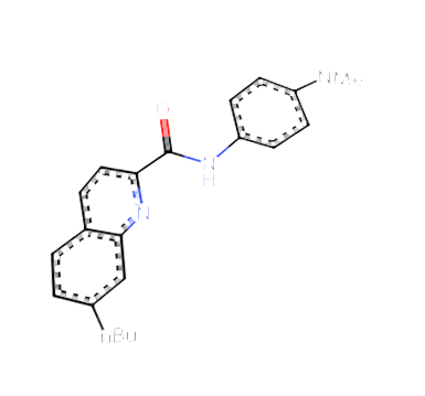 CCCCc1ccc2ccc(C(=O)Nc3ccc(NC)cc3)nc2c1